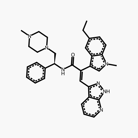 CCc1ccc2c(c1)c(/C(=C\c1n[nH]c3ncccc13)C(=O)N[C@H](CN1CCN(C)CC1)c1ccccc1)cn2C